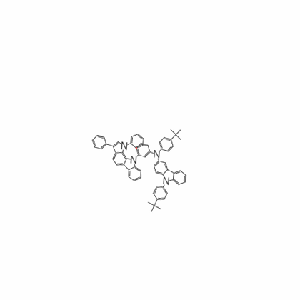 CC(C)(C)c1ccc(N(c2cccc(-n3c4ccccc4c4ccc5c(-c6ccccc6)cn(-c6ccccc6)c5c43)c2)c2ccc3c(c2)c2ccccc2n3-c2ccc(C(C)(C)C)cc2)cc1